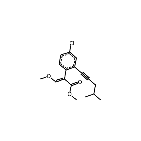 CO/C=C(/C(=O)OC)c1ccc(Cl)cc1C#CCC(C)C